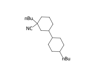 CCCCC1CCC(C2CCCC(C#N)(CCCC)C2)CC1